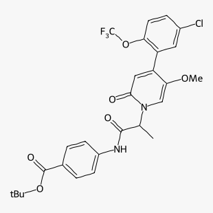 COc1cn(C(C)C(=O)Nc2ccc(C(=O)OC(C)(C)C)cc2)c(=O)cc1-c1cc(Cl)ccc1OC(F)(F)F